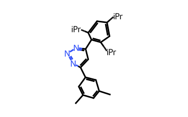 Cc1cc(C)cc(-c2cc(-c3c(C(C)C)cc(C(C)C)cc3C(C)C)nnn2)c1